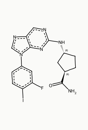 NC(=O)[C@@H]1CC[C@@H](Nc2ncc3ncn(-c4ccc(I)c(F)c4)c3n2)C1